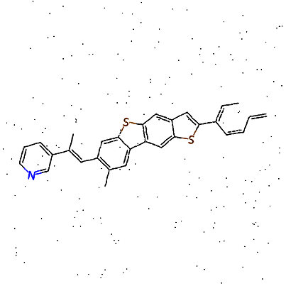 C=C/C=C\C(=C/C)c1cc2cc3sc4cc(/C=C(\C)c5cccnc5)c(C)cc4c3cc2s1